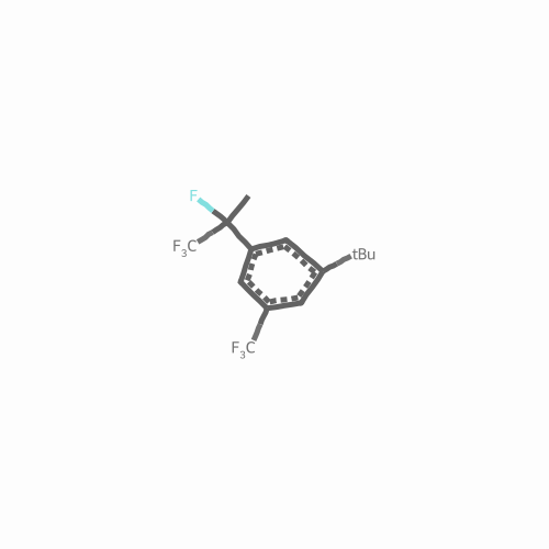 CC(C)(C)c1cc(C(F)(F)F)cc(C(C)(F)C(F)(F)F)c1